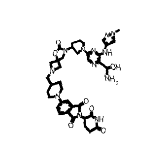 Cn1cc(Nc2nc(N3CCCC(N4CC5(CN(CC6CCN(c7ccc8c(c7)C(=O)N(C7CCC(=O)NC7=O)C8=O)CC6)C5)OC4=O)C3)cnc2C(N)O)cn1